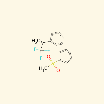 C=C(c1ccccc1)C(F)(F)F.CS(=O)(=O)c1ccccc1